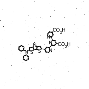 Cn1c2cc(-c3ccnc(-c4cc(C(=O)O)cc(-c5cc(C(=O)O)ccn5)n4)c3)sc2c2sc(N(c3ccccc3)c3ccccc3)cc21